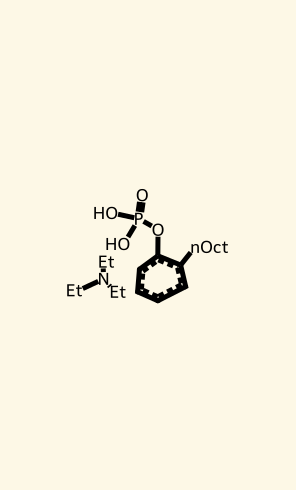 CCCCCCCCc1ccccc1OP(=O)(O)O.CCN(CC)CC